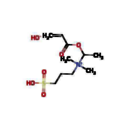 C=CC(=O)OC(C)[N+](C)(C)CCCS(=O)(=O)O.[OH-]